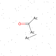 CC(=O)C(=O)C(C)=O.CC(C)=O